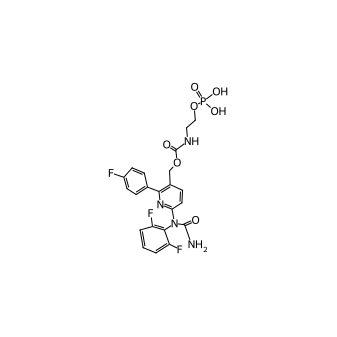 NC(=O)N(c1ccc(COC(=O)NCCOP(=O)(O)O)c(-c2ccc(F)cc2)n1)c1c(F)cccc1F